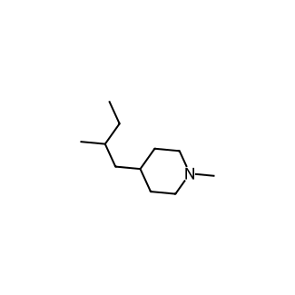 CCC(C)CC1CCN(C)CC1